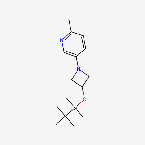 Cc1ccc(N2CC(O[Si](C)(C)C(C)(C)C)C2)cn1